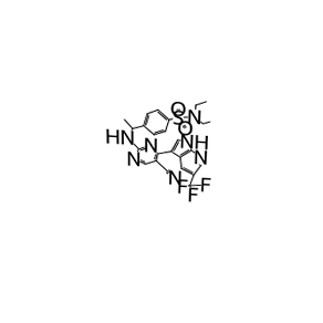 CCN(CC)S(=O)(=O)c1ccc(C(C)Nc2ncc(C#N)c(-c3c[nH]c4ncc(C(F)(F)F)cc34)n2)cc1